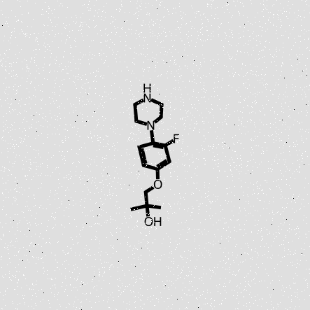 CC(C)(O)COc1ccc(N2CCNCC2)c(F)c1